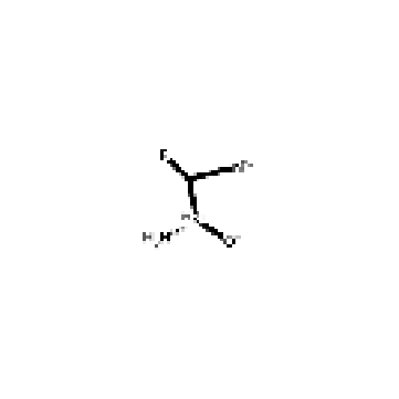 CCCC(F)[S@@+](N)[O-]